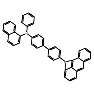 c1ccc(N(c2ccc(-c3ccc(N4c5cccc6cc7ccccc7c4c56)cc3)cc2)c2cccc3ccccc23)cc1